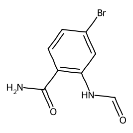 NC(=O)c1ccc(Br)cc1NC=O